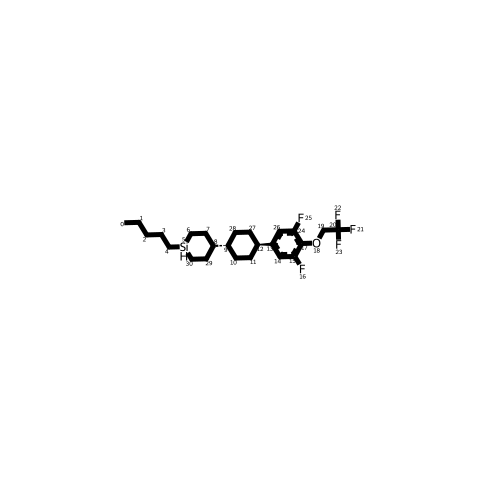 CCCCC[SiH]1CCC([C@H]2CC[C@H](c3cc(F)c(OCC(F)(F)F)c(F)c3)CC2)CC1